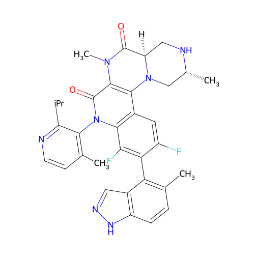 Cc1ccnc(C(C)C)c1-n1c(=O)c2c(c3cc(F)c(-c4c(C)ccc5[nH]ncc45)c(F)c31)N1C[C@@H](C)NC[C@@H]1C(=O)N2C